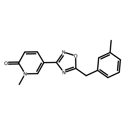 Cc1cccc(Cc2nc(-c3ccc(=O)n(C)c3)no2)c1